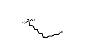 NCCCC/C=C\CCCCCCP(=O)(O)O